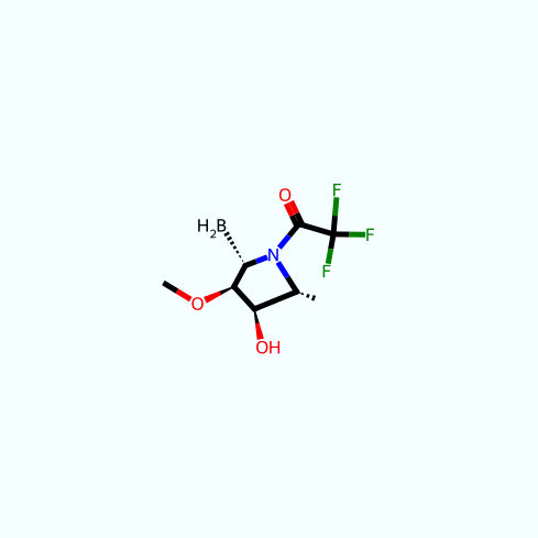 B[C@H]1[C@H](OC)[C@H](O)[C@@H](C)N1C(=O)C(F)(F)F